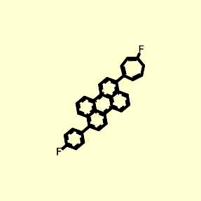 FC1=CC=C(c2ccc3c4cccc5c(-c6ccc(F)cc6)ccc(c6cccc2c36)c54)C=CC1